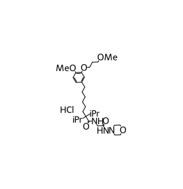 COCCCOc1cc(CCCCCCC(C(=O)NCC(=O)NN2CCOCC2)(C(C)C)C(C)C)ccc1OC.Cl